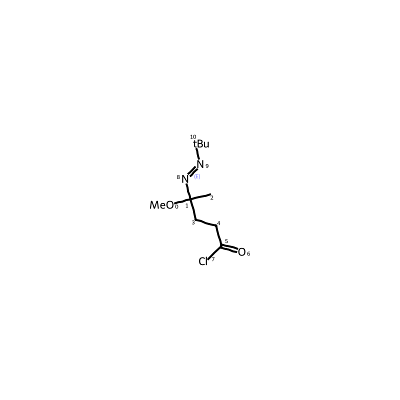 COC(C)(CCC(=O)Cl)/N=N/C(C)(C)C